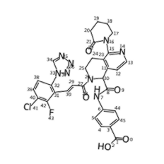 O=C(O)c1ccc(NC(=O)C2c3ccnc(N4CCCCC4=O)c3CCN2C(=O)C=Cc2c(-n3cnnn3)ccc(Cl)c2F)cc1